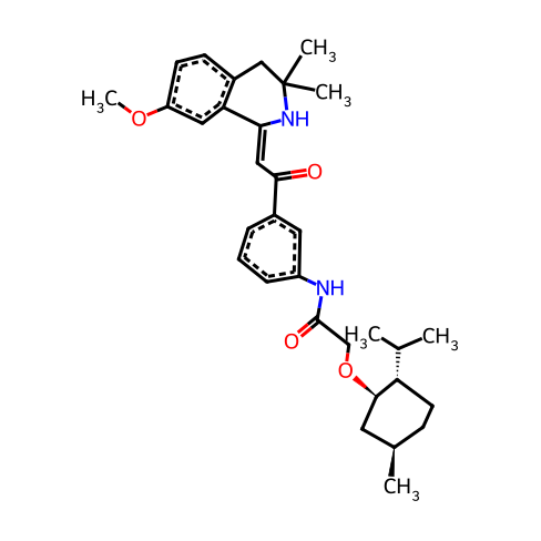 COc1ccc2c(c1)/C(=C/C(=O)c1cccc(NC(=O)CO[C@@H]3C[C@H](C)CC[C@H]3C(C)C)c1)NC(C)(C)C2